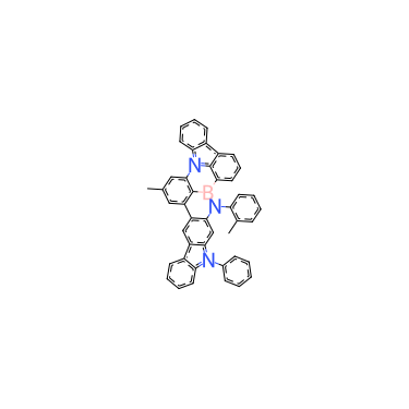 Cc1cc2c3c(c1)-n1c4ccccc4c4cccc(c41)B3N(c1ccccc1C)c1cc3c(cc1-2)c1ccccc1n3-c1ccccc1